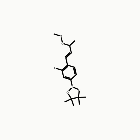 COOC(C)/C=C/c1ccc(B2OC(C)(C)C(C)(C)O2)cc1F